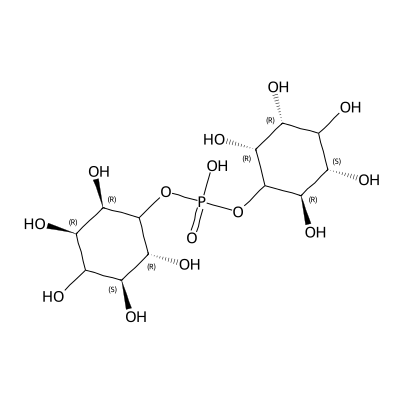 O=P(O)(OC1[C@H](O)[C@H](O)C(O)[C@H](O)[C@H]1O)OC1[C@H](O)[C@H](O)C(O)[C@H](O)[C@H]1O